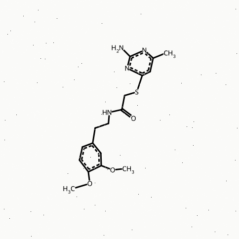 COc1ccc(CCNC(=O)CSc2cc(C)nc(N)n2)cc1OC